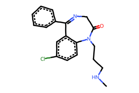 CNCCCN1C(=O)CN=C(c2ccccc2)c2cc(Cl)ccc21